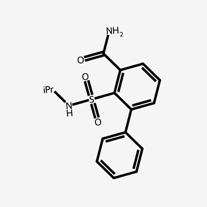 CC(C)NS(=O)(=O)c1c(C(N)=O)cccc1-c1ccccc1